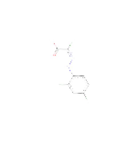 O=C(O)/C(Cl)=N\Nc1ccc(Cl)cc1Cl